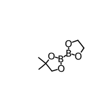 CC1(C)COB(B2OCCO2)O1